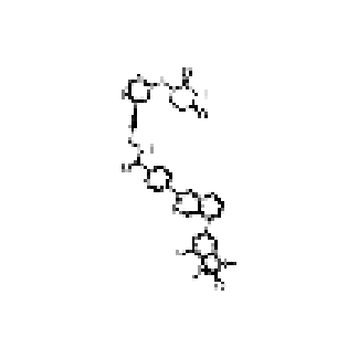 CC(C)c1cc(-c2cccc3cc(-c4ccc(C(=O)NCC#Cc5cc(NC6CCC(=O)NC6=O)ncn5)nc4)ncc23)cc2c1n(C)c(=O)n2C